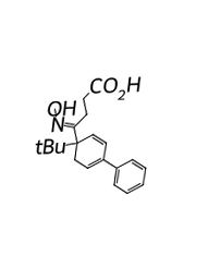 CC(C)(C)C1(C(CCC(=O)O)=NO)C=CC(c2ccccc2)=CC1